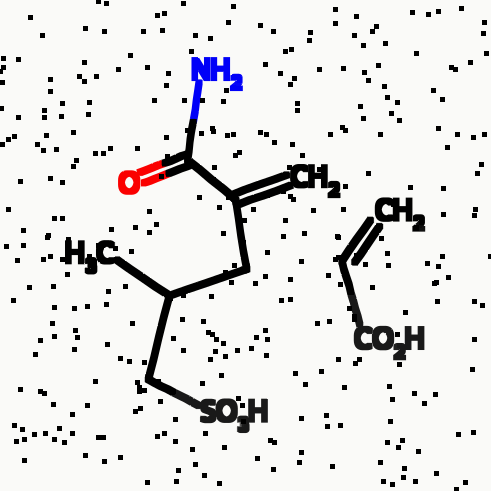 C=C(CC(C)CS(=O)(=O)O)C(N)=O.C=CC(=O)O